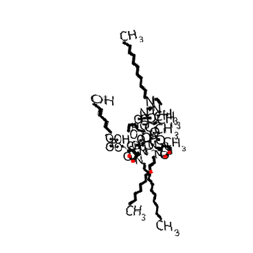 CCCCCCCCCCCCN1CCN(C)C1=NP(=O)(O[C@@H]1CCOC1COP(=O)(/N=C1\N(C)CCN1CCCCCCCCCCCC)O[C@@H]1CCO[C@@H]1COP(=O)(/N=C1\N(C)CCN1CCCCCCCCCCCC)O[C@@H]1CCO[C@@H]1COP(=O)(O)OCCCCCCO)OC(C)(C)C